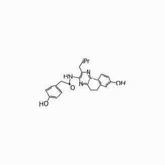 CC(C)Cc1nc2c(nc1NC(=O)Cc1ccc(O)cc1)CCc1cc(O)ccc1-2